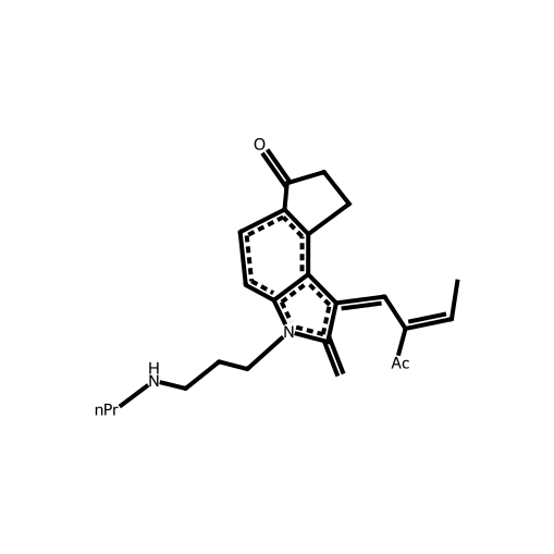 C=c1/c(=C\C(=C/C)C(C)=O)c2c3c(ccc2n1CCCNCCC)C(=O)CC3